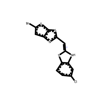 Clc1ccc2c(c1)N/C(=C/c1nc3cc(Br)sc3s1)S2